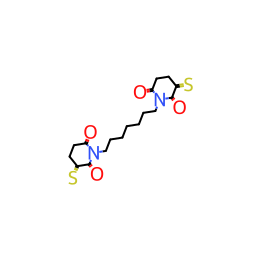 O=C1CCC(=S)C(=O)N1CCCCCCCN1C(=O)CCC(=S)C1=O